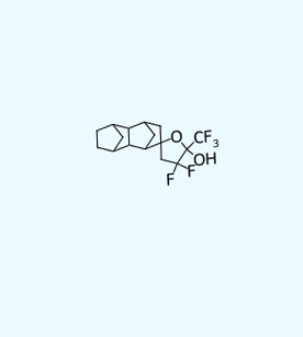 OC1(C(F)(F)F)OC2(CC3CC2C2C4CCC(C4)C32)CC1(F)F